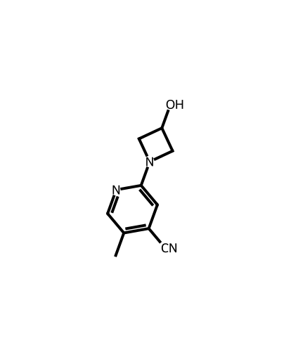 Cc1cnc(N2CC(O)C2)cc1C#N